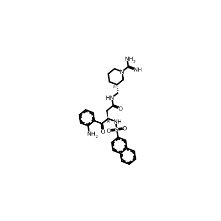 N=C(N)N1CCC[C@@H](CNC(=O)C[C@@H](NS(=O)(=O)c2ccc3ccccc3c2)C(=O)c2ccccc2N)C1